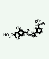 CCCOC(CCC)c1cccc(-c2csc(NC(=O)c3cc(Cl)c(/C=C(\C)C(=O)O)c(Cl)c3)n2)c1F